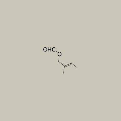 CC=C(C)COC=O